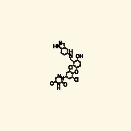 O=c1cnn(-c2cc(Cl)c(Oc3ccc(O)c(CNc4ccc5[nH]ncc5c4)c3)c(Cl)c2)c(=O)[nH]1